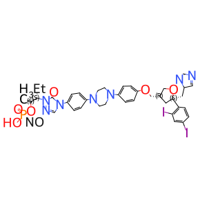 CC[C@@H]([C@H](C)OP(=O)(O)N=O)n1ncn(-c2ccc(N3CCN(c4ccc(OC[C@@H]5CO[C@@](CC6C=NC=N6)(c6ccc(I)cc6I)C5)cc4)CC3)cc2)c1=O